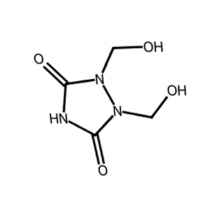 O=c1[nH]c(=O)n(CO)n1CO